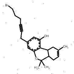 CC1=CCC2C(C1)c1c(O)cc(CC#CCCCBr)cc1OC2(C)C